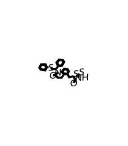 O=C1NC(=S)SC1Cc1cccc2c1CCC(=O)N2C(CSc1ccccc1)c1ccccc1